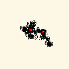 CC[C@@]1(O)C(=O)OCc2c1cc1n(c2=O)Cc2c-1nc1cc(F)c(C)c3c1c2[C@@H](N(C(=O)CNC(=O)CNC(=O)[C@H](Cc1ccccc1)NC(=O)CNC(=O)CNC(=O)CCN1C(=O)C=CC1=O)[C@@H](CCC(=O)O)C(N)=O)CC3